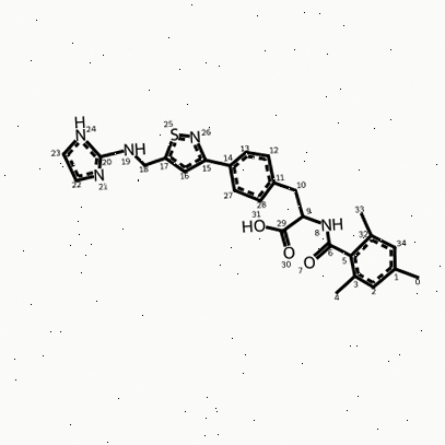 Cc1cc(C)c(C(=O)NC(Cc2ccc(-c3cc(CNc4ncc[nH]4)sn3)cc2)C(=O)O)c(C)c1